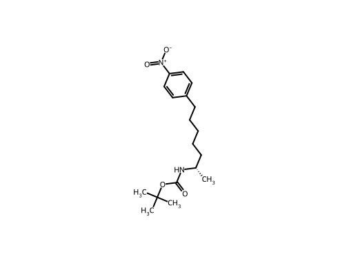 C[C@@H](CCCCCc1ccc([N+](=O)[O-])cc1)NC(=O)OC(C)(C)C